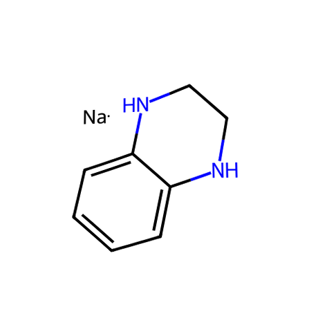 [Na].c1ccc2c(c1)NCCN2